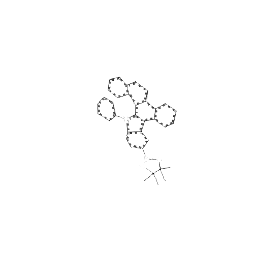 CC1(C)OB(c2ccc3c(c2)c2c4ccccc4c4ccc5ccccc5c4c2n3-c2ccccc2)OC1(C)C